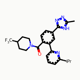 Cc1nnc(-c2ccc(C(=O)N3CCC(C(F)(F)F)CC3)c(-c3cccc(C(C)C)n3)c2)[nH]1